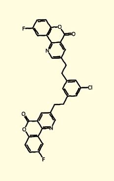 O=c1oc2ccc(F)cc2c2ncc(CCc3cc(Cl)cc(CCc4cnc5c(c4)c(=O)oc4ccc(F)cc45)c3)cc12